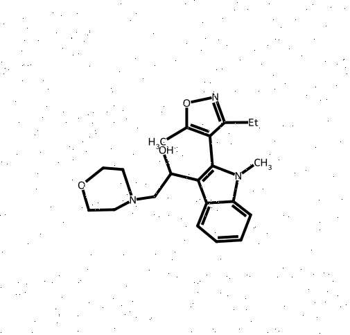 CCc1noc(C)c1-c1c(C(O)CN2CCOCC2)c2ccccc2n1C